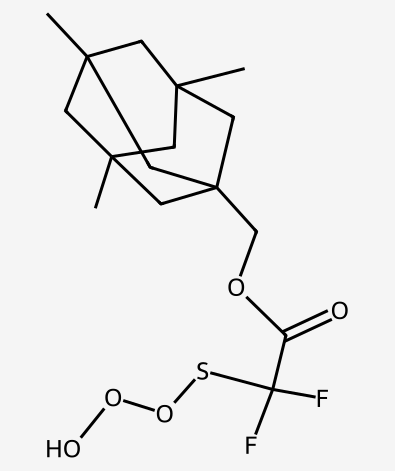 CC12CC3(C)CC(C)(C1)CC(COC(=O)C(F)(F)SOOO)(C2)C3